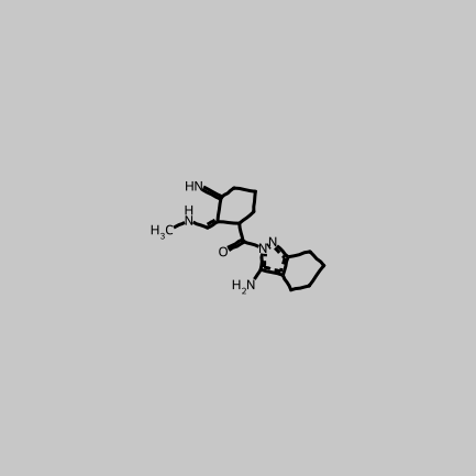 CN/C=C1\C(=N)CCCC1C(=O)n1nc2c(c1N)CCCC2